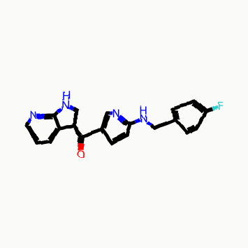 O=C(c1ccc(NCc2ccc(F)cc2)nc1)C1CNc2ncccc21